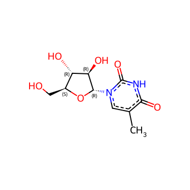 Cc1cn([C@@H]2O[C@@H](CO)[C@H](O)[C@H]2O)c(=O)[nH]c1=O